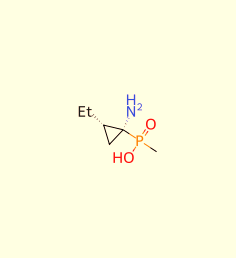 CC[C@H]1C[C@]1(N)P(C)(=O)O